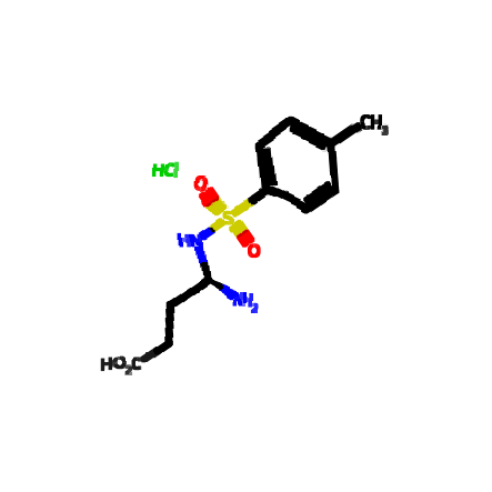 Cc1ccc(S(=O)(=O)N[C@@H](N)CCC(=O)O)cc1.Cl